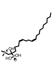 CCCCCCCCC/C=C\CC/C=C\CCCC(O)(C[N+](C)(C)C)P(=O)(O)O